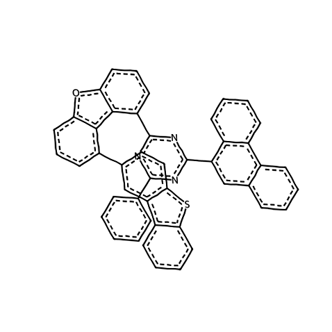 c1ccc(-c2nc(-c3cc4ccccc4c4ccccc34)nc(-c3cccc4oc5cccc(-c6ccc7sc8ccccc8c7c6)c5c34)n2)cc1